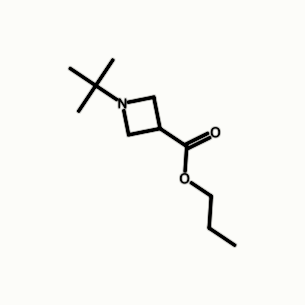 CCCOC(=O)C1CN(C(C)(C)C)C1